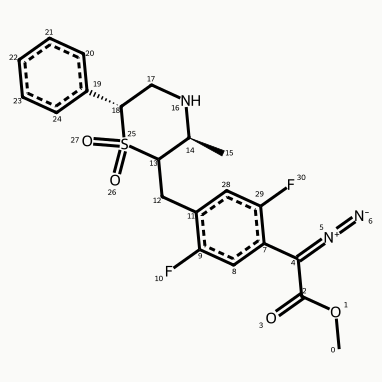 COC(=O)C(=[N+]=[N-])c1cc(F)c(CC2[C@H](C)NC[C@@H](c3ccccc3)S2(=O)=O)cc1F